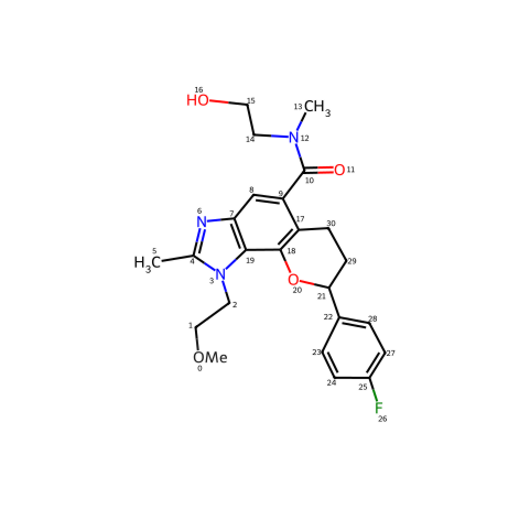 COCCn1c(C)nc2cc(C(=O)N(C)CCO)c3c(c21)OC(c1ccc(F)cc1)CC3